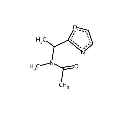 CC(=O)N(C)C(C)c1ncco1